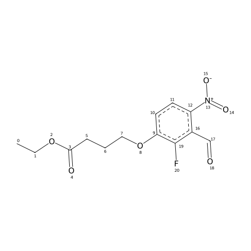 CCOC(=O)CCCOc1ccc([N+](=O)[O-])c(C=O)c1F